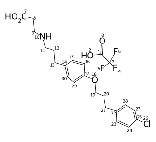 O=C(O)C(F)(F)F.O=C(O)CCNCCCc1ccc(OCCCc2ccc(Cl)cc2)cc1